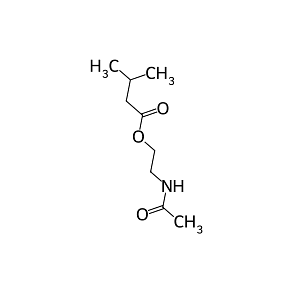 CC(=O)NCCOC(=O)CC(C)C